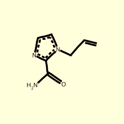 C=CCn1ccnc1C(N)=O